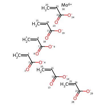 C=CC(=O)[O-].C=CC(=O)[O-].C=CC(=O)[O-].C=CC(=O)[O-].C=CC(=O)[O-].C=CC(=O)[O-].[Mo+6]